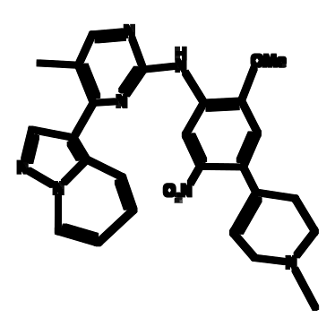 COc1cc(C2=CCN(C)CC2)c([N+](=O)[O-])cc1Nc1ncc(C)c(-c2cnn3ccccc23)n1